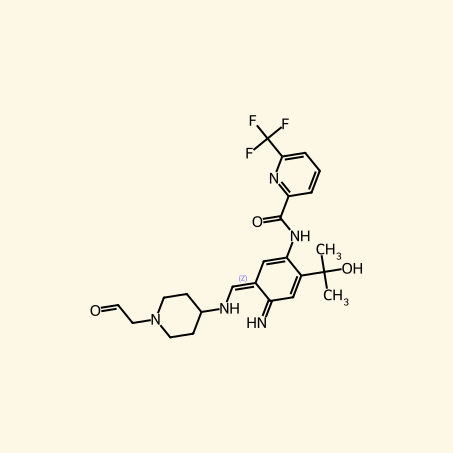 CC(C)(O)C1=CC(=N)/C(=C\NC2CCN(CC=O)CC2)C=C1NC(=O)c1cccc(C(F)(F)F)n1